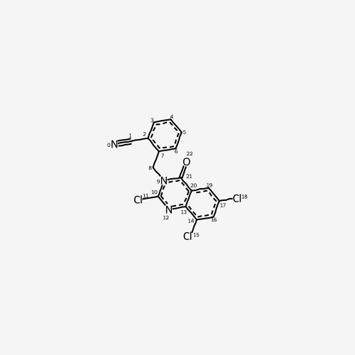 N#Cc1ccccc1Cn1c(Cl)nc2c(Cl)cc(Cl)cc2c1=O